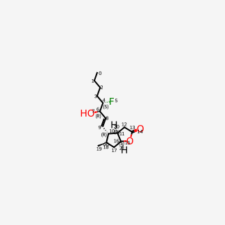 CCCC[C@H](F)[C@H](O)C=C[C@@H]1[C@H]2CC(=O)O[C@H]2C[C@H]1C